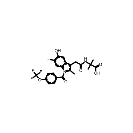 Cc1c(CC(=O)NC(C)(C)C(=O)O)c2cc(O)c(F)cc2n1C(=O)c1ccc(OC(F)(F)F)cc1